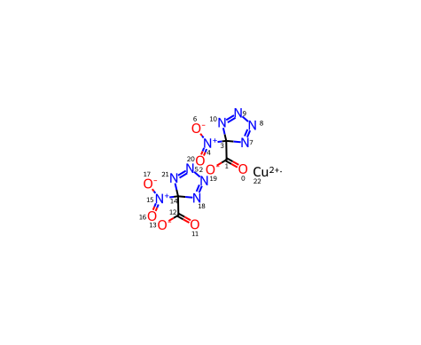 O=C([O-])C1([N+](=O)[O-])N=NN=N1.O=C([O-])C1([N+](=O)[O-])N=NN=N1.[Cu+2]